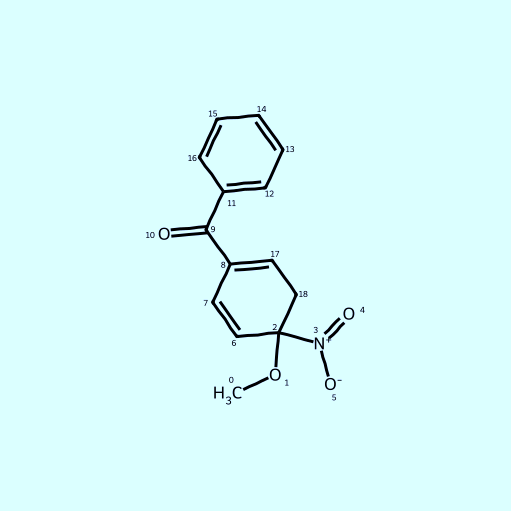 COC1([N+](=O)[O-])C=CC(C(=O)c2ccccc2)=CC1